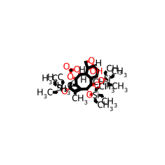 CC[Si](CC)(CC)O[C@H]1C(=O)[C@]2(C)[C@@H](O[Si](CC)(CC)CC)C[C@H]3OC[C@@]3(O)[C@H]2[C@@H]2OC(=O)O[C@@]23C[C@H](O[Si](CC)(CC)CC)C(C)=C1C3(C)C